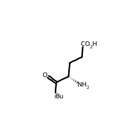 CCC(C)C(=O)[C@@H](N)CCC(=O)O